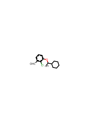 CCCC(Oc1cccc(C=O)c1Cl)C1CCCCC1